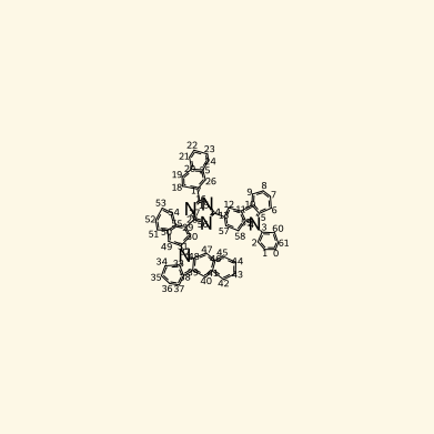 c1ccc(-n2c3ccccc3c3cc(-c4nc(-c5ccc6ccccc6c5)nc(-c5cc(-n6c7ccccc7c7cc8ccccc8cc76)cc6ccccc56)n4)ccc32)cc1